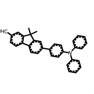 CC1(C)c2cc(C=O)ccc2-c2ccc(-c3ccc(N(c4ccccc4)c4ccccc4)cc3)cc21